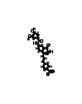 COc1ccc(C(=O)Nc2ccc3c(C/C=C/c4ccc([N+](=O)[O-])cc4)n[nH]c(=O)c3c2)cc1OC